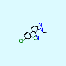 CCn1cnc2ccc(-c3ccc(Cl)cc3Cl)c(C#N)c21